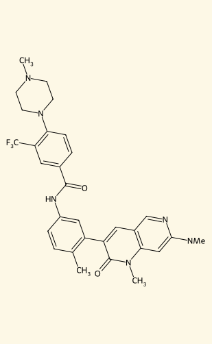 CNc1cc2c(cn1)cc(-c1cc(NC(=O)c3ccc(N4CCN(C)CC4)c(C(F)(F)F)c3)ccc1C)c(=O)n2C